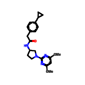 COc1cc(OC)nc(N2CC[C@@H](NC(=O)Cc3ccc(C4CC4)cc3)C2)n1